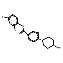 CCCC[C@H]1CC[C@H](c2ccc(C(=O)Oc3ccc(F)nc3F)cc2)CC1